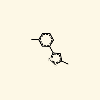 Cc1cccc(-c2cc(C)sn2)c1